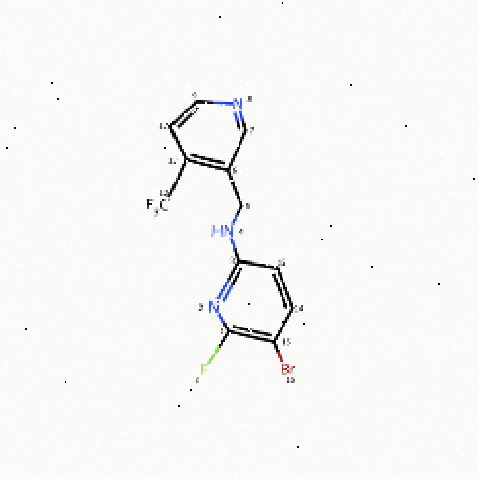 Fc1nc(NCc2cnccc2C(F)(F)F)ccc1Br